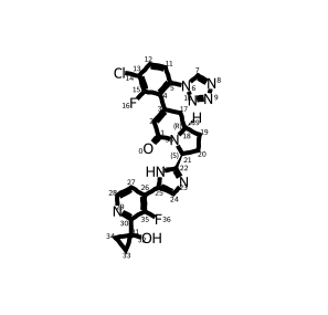 O=C1C=C(c2c(-n3cnnn3)ccc(Cl)c2F)C[C@H]2CC[C@@H](c3ncc(-c4ccnc(C5(O)CC5)c4F)[nH]3)N12